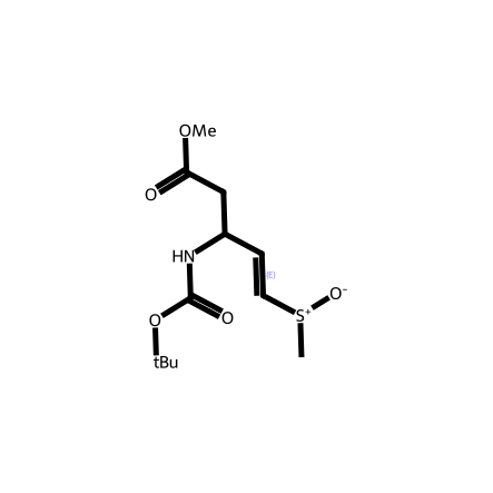 COC(=O)CC(/C=C/[S+](C)[O-])NC(=O)OC(C)(C)C